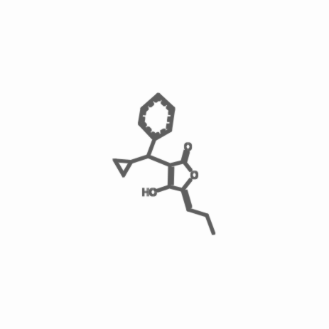 CC/C=C1\OC(=O)C(C(c2ccccc2)C2CC2)=C1O